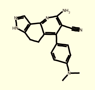 CN(C)c1ccc(-c2c(C#N)c(N)nc3c2CCc2[nH]ncc2-3)cc1